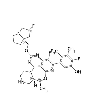 Cc1c(F)c(O)cc(-c2nc3c4c(nc(OC[C@@]56CCCN5C[C@H](F)C6)nc4c2F)N2CCNC[C@H]2[C@H](C)O3)c1C(F)(F)F